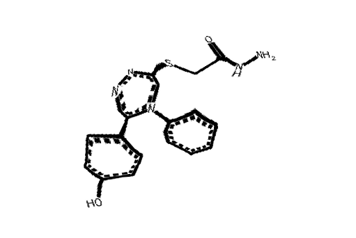 NNC(=O)CSc1nnc(-c2ccc(O)cc2)n1-c1ccccc1